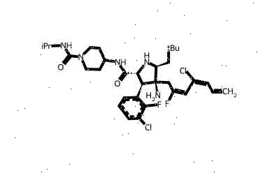 C=C/C=C(Cl)\C=C(\F)C[C@@]1(N)[C@H](CC(C)(C)C)N[C@@H](C(=O)NC2CCN(C(=O)NC(C)C)CC2)[C@@H]1c1cccc(Cl)c1F